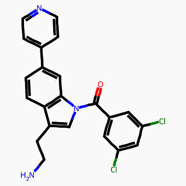 NCCc1cn(C(=O)c2cc(Cl)cc(Cl)c2)c2cc(-c3ccncc3)ccc12